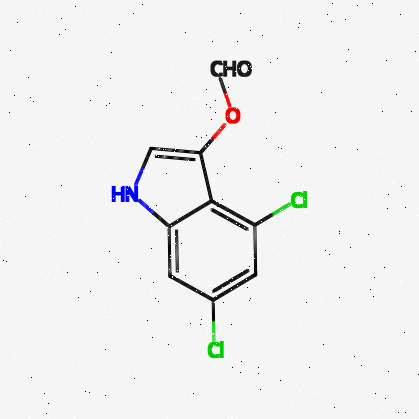 O=COc1c[nH]c2cc(Cl)cc(Cl)c12